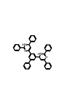 C1=C(c2cc(-c3ccccc3)cc(C3C=C(c4ccccc4)N=C(c4ccccc4)N3)c2)N=C(c2ccccc2)NC1c1ccccc1